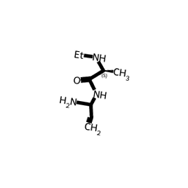 C=CC(N)NC(=O)[C@H](C)NCC